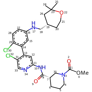 COC(=O)N1CCC[C@H](C(=O)Nc2cc(-c3cc(NC[C@H]4CCOC(C)(C)C4)ccc3Cl)c(Cl)cn2)C1